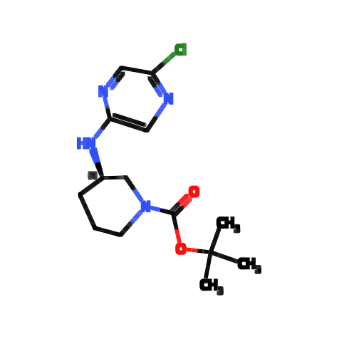 CC(C)(C)OC(=O)N1CCC[C@@H](Nc2cnc(Cl)cn2)C1